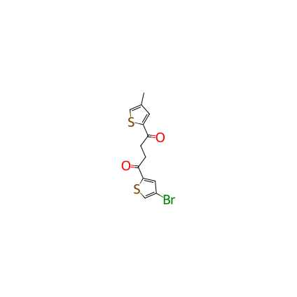 Cc1csc(C(=O)CCC(=O)c2cc(Br)cs2)c1